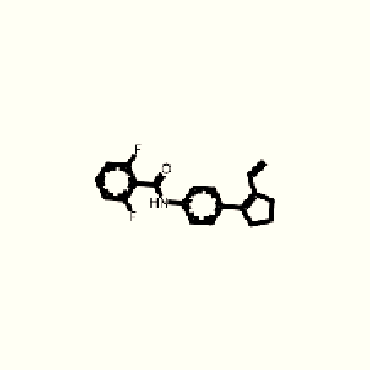 C=CC1=C(c2ccc(NC(=O)c3c(F)cccc3F)cc2)CCC1